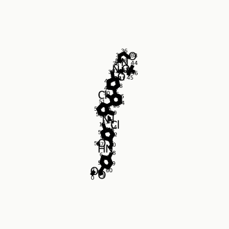 COC(=O)c1ccc(CNCc2cc(Cl)c(Cn3ncc4c(-c5cccc(-c6ccc(CN(C[C@@H]7CCC(=O)N7)C(=O)OC(C)(C)C)cc6)c5Cl)cccc43)cc2OC)cc1